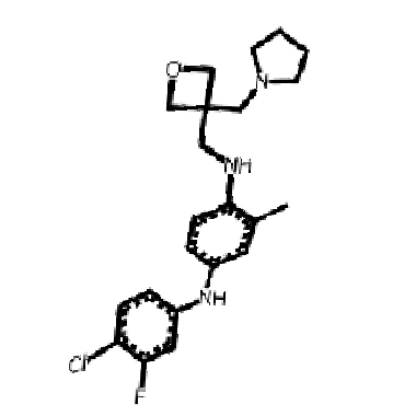 Cc1cc(Nc2ccc(Cl)c(F)c2)ccc1NCC1(CN2CCCC2)COC1